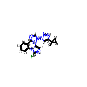 CC1(c2cn(N3C=NC4c5ccccc5-n5c(cnc5F)N43)nn2)CC1